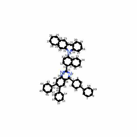 c1ccc(-c2ccc(-c3nc(-c4ccc(-n5c6ccccc6c6cc7ccccc7cc65)c5ccccc45)nc4cc(-c5ccccc5)c(-c5ccccc5)cc34)cc2)cc1